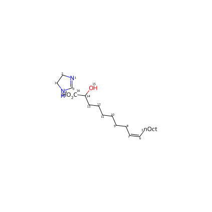 C1=NCCN1.CCCCCCCC/C=C\CCCCCCC(O)C(=O)O